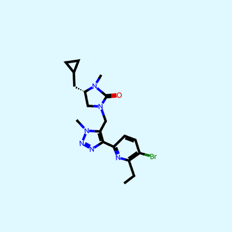 CCc1nc(-c2nnn(C)c2CN2C[C@H](CC3CC3)N(C)C2=O)ccc1Br